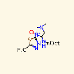 CCCCCCCCNC1CN(C)C[N+]1([O-])c1nnc(C(F)(F)F)s1